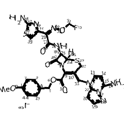 COc1ccc(COC(=O)C2=C(C[n+]3ccc(N)n4nccc43)CS[C@H]3[C@H](NC(=O)C(=NOCF)c4csc(N)n4)C(=O)N23)cc1.[I-]